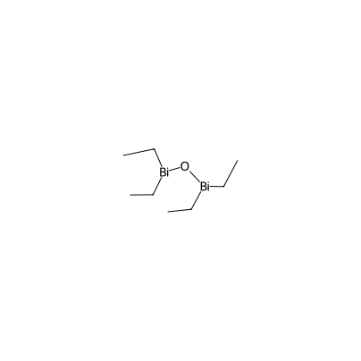 C[CH2][Bi]([CH2]C)[O][Bi]([CH2]C)[CH2]C